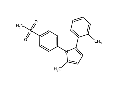 Cc1ccccc1-c1ccc(C)n1-c1ccc(S(N)(=O)=O)cc1